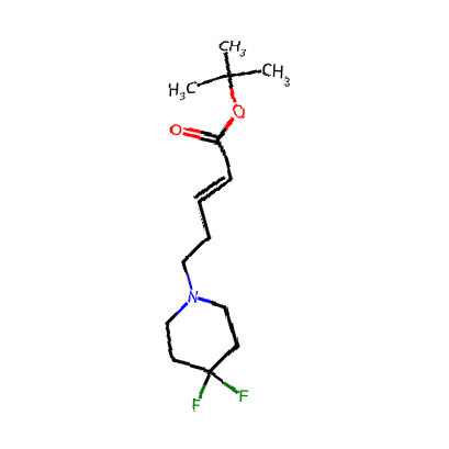 CC(C)(C)OC(=O)C=CCCN1CCC(F)(F)CC1